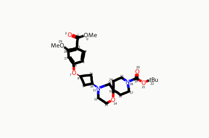 COC(=O)c1ccc(O[C@H]2C[C@H](N3CCOC4(CCN(C(=O)OC(C)(C)C)CC4)C3)C2)cc1OC